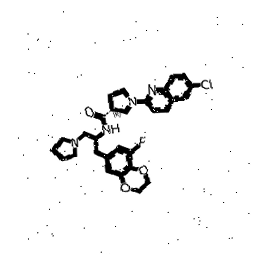 O=C(NC(Cc1cc(F)c2c(c1)OCCO2)CN1CCCC1)[C@@H]1CCN(c2ccc3cc(Cl)ccc3n2)C1